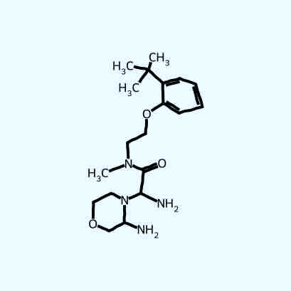 CN(CCOc1ccccc1C(C)(C)C)C(=O)C(N)N1CCOCC1N